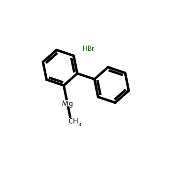 Br.[CH3][Mg][c]1ccccc1-c1ccccc1